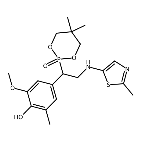 COc1cc(C(CNc2cnc(C)s2)P2(=O)OCC(C)(C)CO2)cc(C)c1O